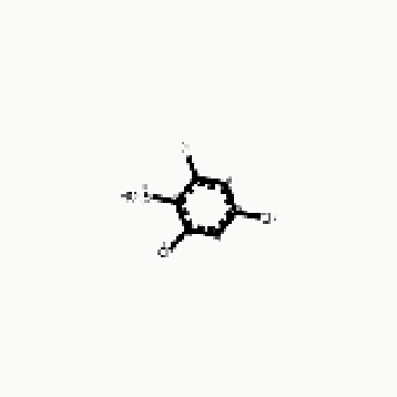 O=S(=O)(O)c1c(Cl)cc(Cl)cc1Cl